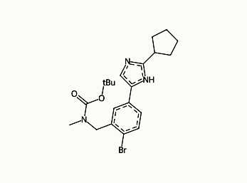 CN(Cc1cc(-c2cnc(C3CCCC3)[nH]2)ccc1Br)C(=O)OC(C)(C)C